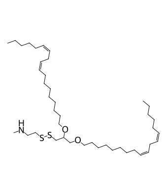 CCCCC/C=C\C/C=C\CCCCCCCCOCC(CSSCCNC)OCCCCCCCC/C=C\C/C=C\CCCCC